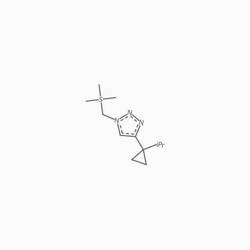 CC(C)C1(c2cn(CS(C)(C)C)nn2)CC1